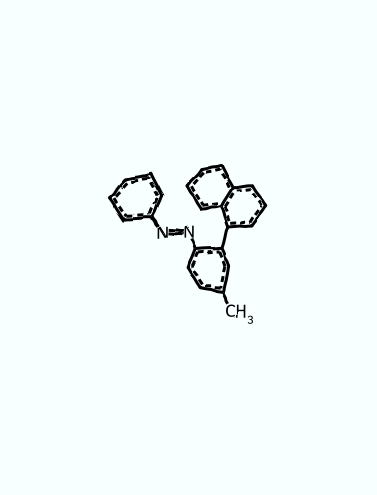 Cc1ccc(N=Nc2ccccc2)c(-c2cccc3ccccc23)c1